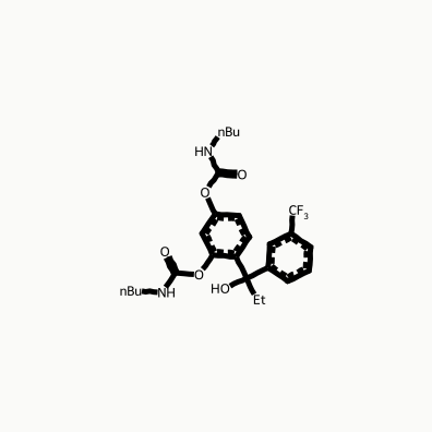 CCCCNC(=O)Oc1ccc(C(O)(CC)c2cccc(C(F)(F)F)c2)c(OC(=O)NCCCC)c1